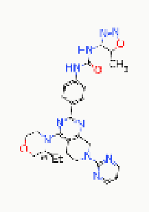 CC[C@H]1COCCN1c1nc(-c2ccc(NC(=O)NC3N=NOC3C)cc2)nc2c1CCN(c1ncccn1)C2